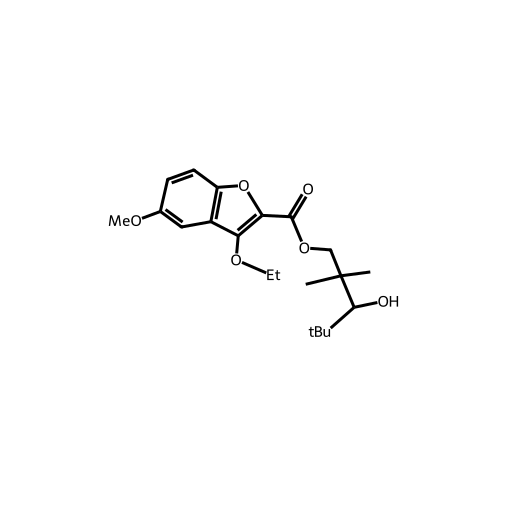 CCOc1c(C(=O)OCC(C)(C)C(O)C(C)(C)C)oc2ccc(OC)cc12